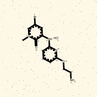 Cl.Cn1cc(Br)cc(Nc2cccc(OCCN)n2)c1=O